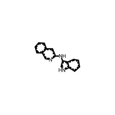 c1ccc2cc(Nc3c[nH]c4ccccc34)ncc2c1